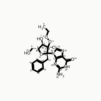 CCOO[C@]1(Cl)[C@H](O)[C@@H](CO)O[C@@]1(Cc1ccccc1)n1cnc2c(=O)[nH]c(N)nc21